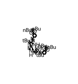 CCCCN(CCCC)S(=O)(=O)c1cccc(/N=N/c2c(C(C)(C)C)nn(C3=CC(n4nc(C(C)(C)C)c(/N=N/c5cccc(S(=O)(=O)N(CCCC)CCCC)c5)c4N)=NCN3)c2N)c1